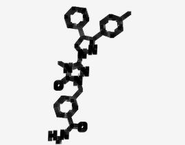 Cc1ccc(C2=NN(c3nn(Cc4cccc(C(N)=O)c4)c(=O)n3C)CC2c2ccccc2)cc1